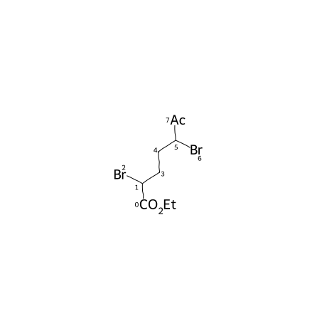 CCOC(=O)C(Br)CCC(Br)C(C)=O